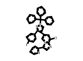 Fc1ccc(-c2nn(C(c3ccccc3)(c3ccccc3)c3ccccc3)cc2-c2cc(Cl)c3ncc(-c4ccccn4)n3c2)cc1